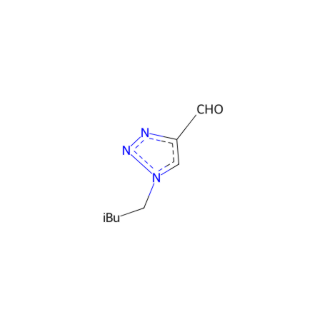 CCC(C)Cn1cc(C=O)nn1